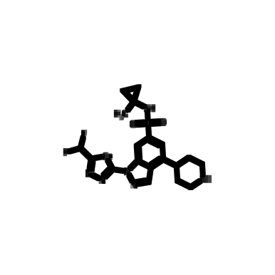 CC1(NS(=O)(=O)c2cc(C3CCNCC3)c3cnn(-c4nnc(C(F)F)[se]4)c3c2)CC1